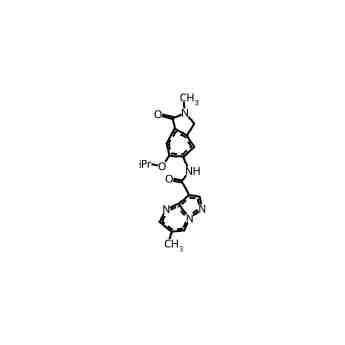 Cc1cnc2c(C(=O)Nc3cc4c(cc3OC(C)C)C(=O)N(C)C4)cnn2c1